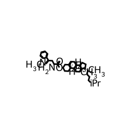 CC(C)CCCC(C)[C@H]1CC[C@H]2[C@@H]3CC=C4C[C@@H](OC(=O)[C@H](N)Cc5cn(C)c6ccccc56)CC[C@]4(C)[C@H]3CC[C@]12C